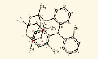 Cc1ccccc1P(c1ccccc1C)c1ccccc1P1C2(C)CC3(C)OC(C)(CC1(C)O3)O2